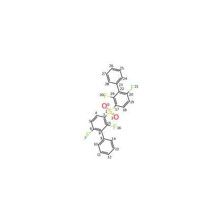 O=S(=O)(c1ccc(F)c(-c2ccccc2)c1F)c1ccc(F)c(-c2ccccc2)c1F